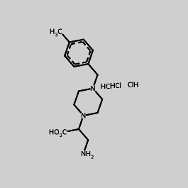 Cc1ccc(CN2CCN(C(CN)C(=O)O)CC2)cc1.Cl.Cl.Cl